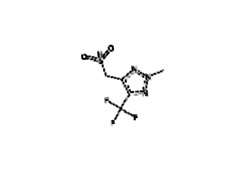 Cn1nc(C[SH](=O)=O)c(C(F)(F)F)n1